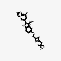 Cc1cc(-c2[nH]c3ccc(OCC4CN(CC(C)(C)O)C4)cc3c2C(C)C)cn2ncnc12